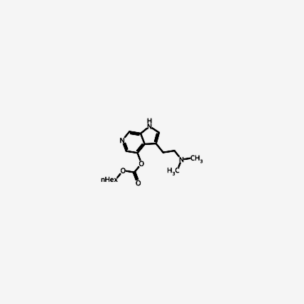 CCCCCCOC(=O)Oc1cncc2[nH]cc(CCN(C)C)c12